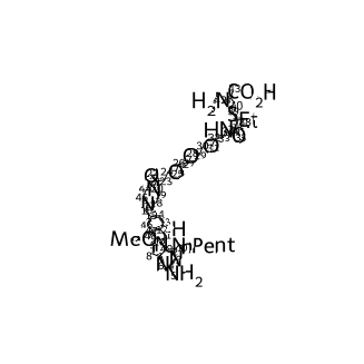 CCCCCNc1nc(N)nc2ccn(Cc3ccc(CN4CCN(C(=O)CCOCCOCCOCCNC(=O)C(CC)SCC(N)C(=O)O)CC4)cc3OC)c12